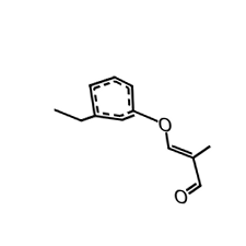 CCc1cccc(O/C=C(\C)C=O)c1